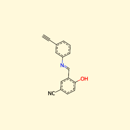 C#Cc1cccc(/N=C/c2cc(C#N)ccc2O)c1